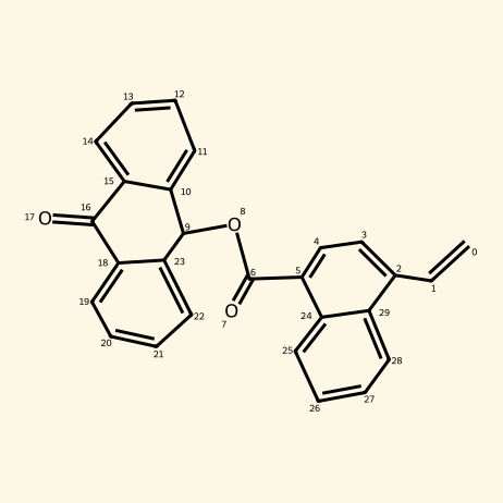 C=Cc1ccc(C(=O)OC2c3ccccc3C(=O)c3ccccc32)c2ccccc12